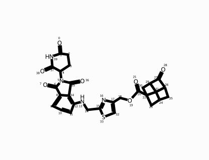 O=C1CCC(N2C(=O)c3cccc(NCc4nc(COC(=O)C56CC7CC8C(=O)C(C5)C786)cs4)c3C2=O)C(=O)N1